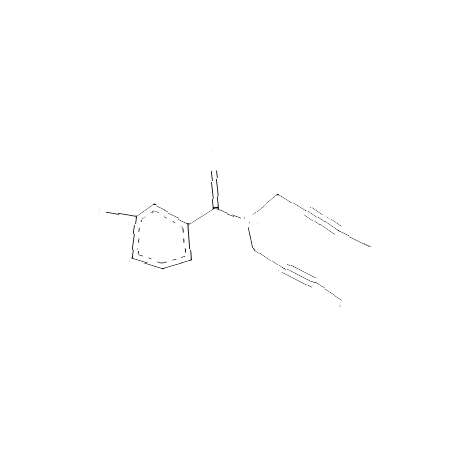 CC#CCN(CC#CC)C(=O)c1cccc(F)c1